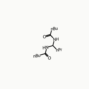 [CH2]CCC(NC(=O)CCCC)NC(=O)CCCC